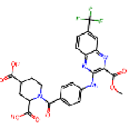 COC(=O)c1nc2cc(C(F)(F)F)ccc2nc1Nc1ccc(C(=O)N2CCC(C(=O)O)CC2C(=O)O)cc1